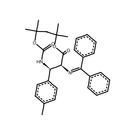 Cc1ccc([C@@H](NC(=O)OC(C)(C)C)[C@H](N=C(c2ccccc2)c2ccccc2)C(=O)OC(C)(C)C)cc1